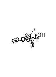 CCCCCN(C(CCC(F)(F)CO)CO[Si](C)(C)C(C)(C)C)S(=O)(=O)c1ccc(CO[Si](C)(C)C(C)(C)C)cc1